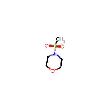 CS(=O)(=O)N1CCOCC1